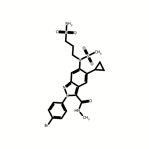 CNC(=O)c1c2cc(C3CC3)c(N(CCCS(N)(=O)=O)S(C)(=O)=O)cc2nn1-c1ccc(Br)cc1